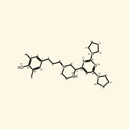 Cc1cc(CCCN2CCNC(c3cc(N4CCCC4)nc(N4CCCC4)n3)C2)cc(C)c1O